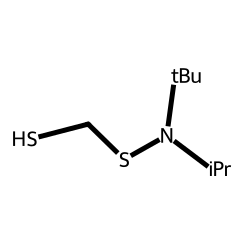 CC(C)N(SCS)C(C)(C)C